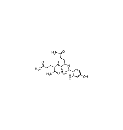 CC(=O)CCC(NC(=O)C(CCC(N)=O)/N=C(\C)c1ccc(O)cc1O)C(N)=O